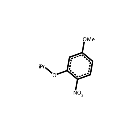 COc1ccc([N+](=O)[O-])c(OC(C)C)c1